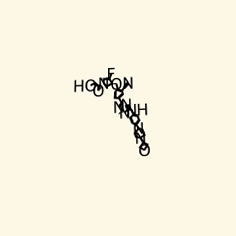 N#Cc1cc(-c2ncnc(Nc3ccc(N4CCN(C5COC5)CC4)cc3)n2)ccc1O[C@H]1CN(C(=O)CO)CC1F